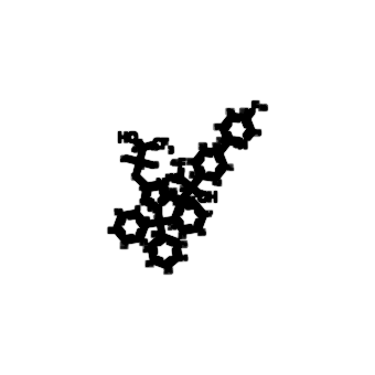 CC(C)(Cc1cn(C(c2ccccc2)(c2ccccc2)c2ccccc2)c(CC(O)(c2ccc(-c3ccc(F)cn3)cc2)C(F)F)n1)C(O)C(F)(F)F